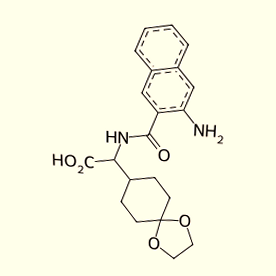 Nc1cc2ccccc2cc1C(=O)NC(C(=O)O)C1CCC2(CC1)OCCO2